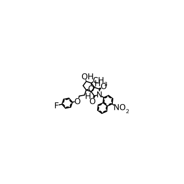 CC12OC(CCOc3ccc(F)cc3)(C[C@H]1O)[C@@H]1C(=O)N(c3ccc([N+](=O)[O-])c4ccccc34)C(=O)[C@@H]12